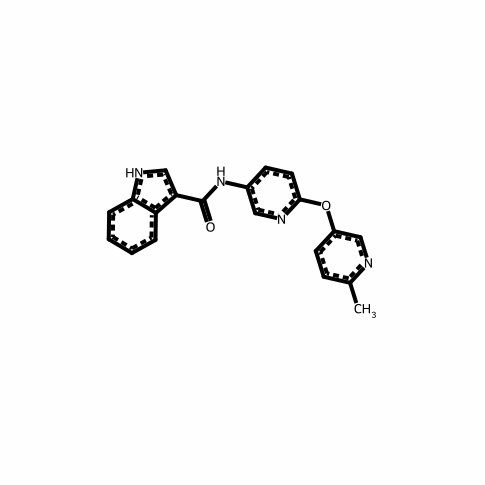 Cc1ccc(Oc2ccc(NC(=O)c3c[nH]c4ccccc34)cn2)cn1